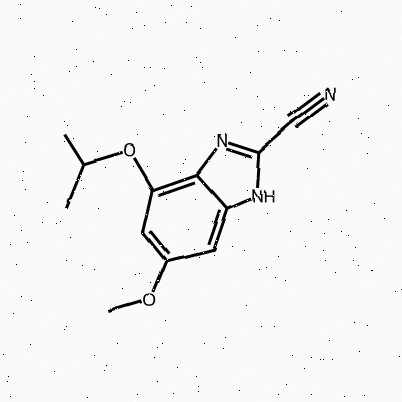 COc1cc(OC(C)C)c2nc(C#N)[nH]c2c1